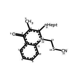 CCCCCCCc1c(C)c(=O)c2ccccc2n1CSC#N